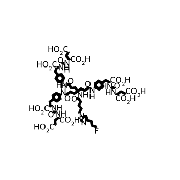 O=C(O)CCC(NC(=O)N[C@@H](Cc1ccc(NC(=O)CCC(CCC(=O)Nc2ccc(CC(NC(=O)N[C@@H](CCC(=O)O)C(=O)O)C(=O)O)cc2)(CCC(=O)Nc2ccc(CC(NC(=O)N[C@@H](CCC(=O)O)C(=O)O)C(=O)O)cc2)NC(=O)CCCCn2cc(CCCF)nn2)cc1)C(=O)O)C(=O)O